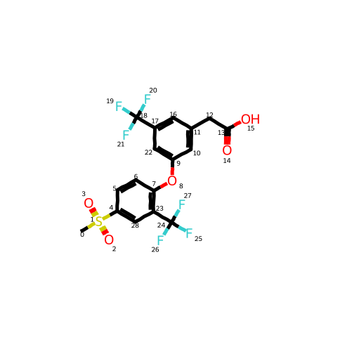 CS(=O)(=O)c1ccc(Oc2cc(CC(=O)O)cc(C(F)(F)F)c2)c(C(F)(F)F)c1